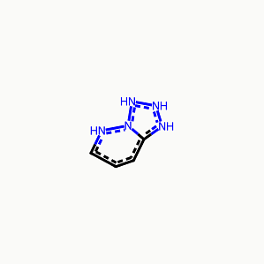 c1c[nH]n2[nH][nH][nH]c-2c1